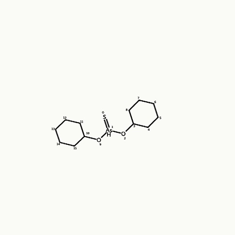 S=[AsH](OC1CCCCC1)OC1CCCCC1